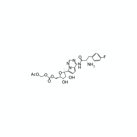 CC(=O)OCOC(=O)OC[C@H]1O[C@@](C)(c2ccc3c(NC(=O)[C@@H](N)Cc4ccc(F)cc4)ncnn23)[C@H](O)[C@@H]1O